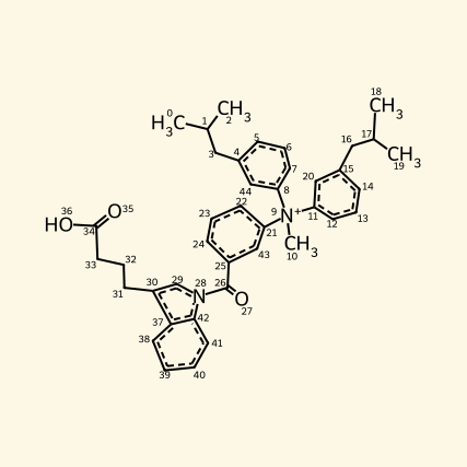 CC(C)Cc1cccc([N+](C)(c2cccc(CC(C)C)c2)c2cccc(C(=O)n3cc(CCCC(=O)O)c4ccccc43)c2)c1